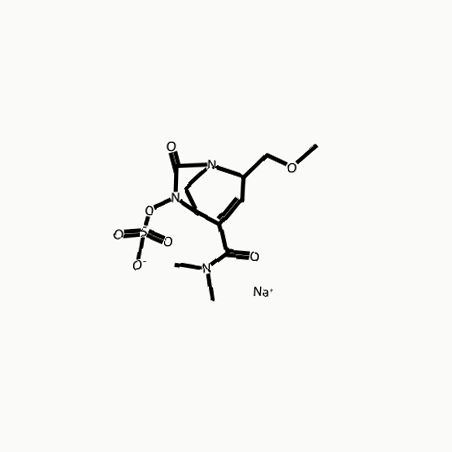 COCC1C=C(C(=O)N(C)C)C2CN1C(=O)N2OS(=O)(=O)[O-].[Na+]